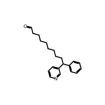 O=CCCCCCCCCC(c1ccccc1)c1cccnc1